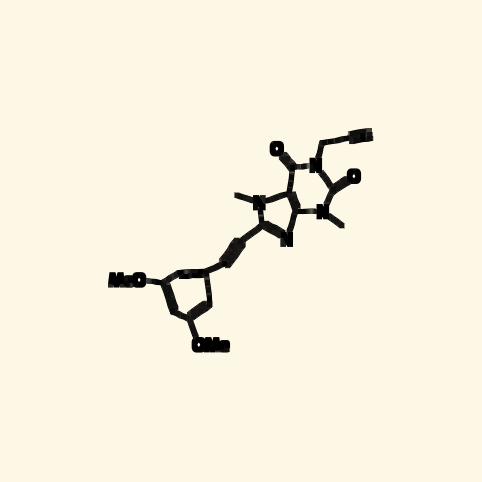 C#CCn1c(=O)c2c(nc(C#Cc3cc(OC)cc(OC)c3)n2C)n(C)c1=O